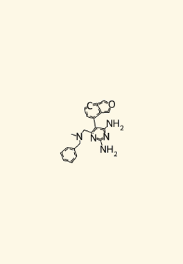 CN(Cc1ccccc1)Cc1nc(N)nc(N)c1-c1cccc2cocc12